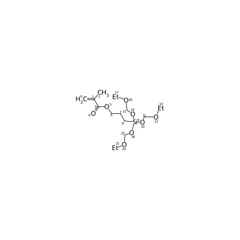 C=C(C)C(=O)OCCC[Si](OCOCC)(OCOCC)OCOCC